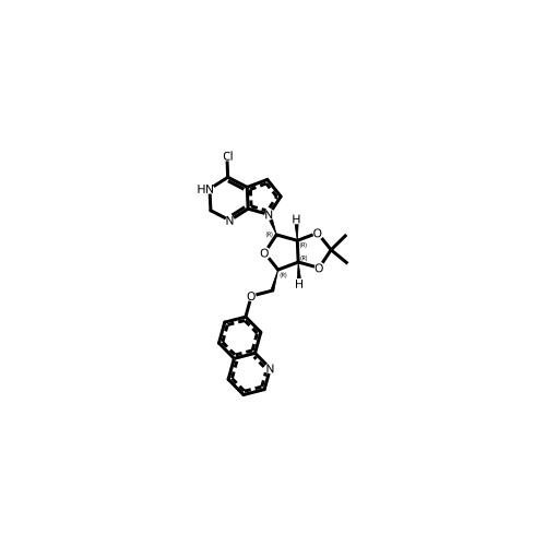 CC1(C)O[C@@H]2[C@H](O1)[C@@H](COc1ccc3cccnc3c1)O[C@H]2n1ccc2c1=NCNC=2Cl